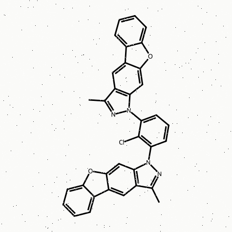 Cc1nn(-c2cccc(-n3nc(C)c4cc5c(cc43)oc3ccccc35)c2Cl)c2cc3oc4ccccc4c3cc12